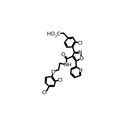 O=C(O)Cc1ccc(-c2noc(-c3ccccn3)c2C(=O)NCCOc2ccc(Cl)cc2Cl)c(Cl)c1